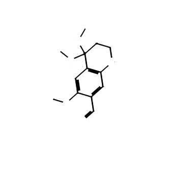 CSc1cc2c(cc1C=O)OCCC2(SC)SC